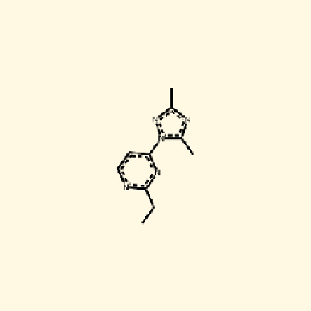 CCc1nccc(-n2nc(C)nc2C)n1